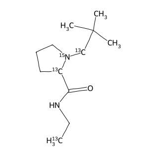 CC(C)(C)[13CH2][15N]1CCC[13CH]1C(=O)NC[13CH3]